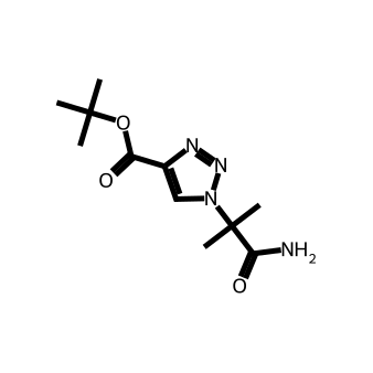 CC(C)(C)OC(=O)c1cn(C(C)(C)C(N)=O)nn1